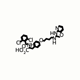 O=C(NC(Cc1ccc(OCCCCNC2COc3cccnc3N2)cc1)C(=O)O)c1c(Cl)cccc1Cl